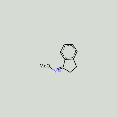 CO/N=C1/CCc2ccccc21